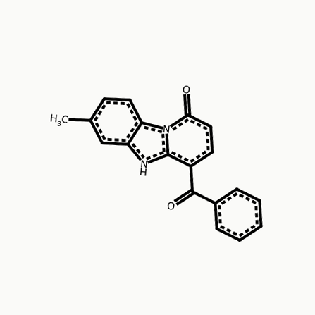 Cc1ccc2c(c1)[nH]c1c(C(=O)c3ccccc3)ccc(=O)n12